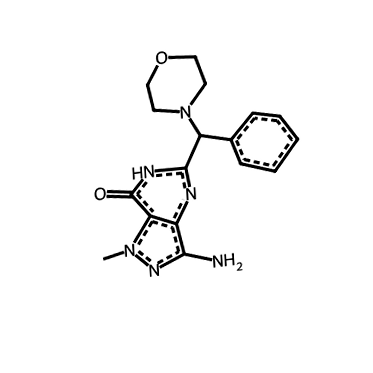 Cn1nc(N)c2nc(C(c3ccccc3)N3CCOCC3)[nH]c(=O)c21